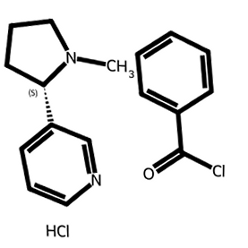 CN1CCC[C@H]1c1cccnc1.Cl.O=C(Cl)c1ccccc1